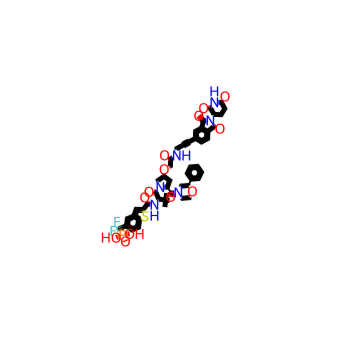 CC(C)(C)C(NC(=O)c1cc2cc(C(F)(F)P(=O)(O)O)ccc2s1)C(=O)N1C[C@@H](OCC(=O)NCC#Cc2ccc3c(c2)C(=O)N(C2CCC(=O)NC2=O)C3=O)C[C@H]1C(=O)N1CCO[C@H](c2ccccc2)C1